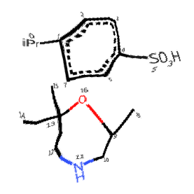 CC(C)c1ccc(S(=O)(=O)O)cc1.CC1CNCC(C)(C)O1